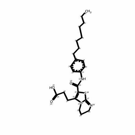 CCCCCCCCc1ccc(NC(=O)C2=C(CCC(=O)O)N3CCCN=C3S2)cc1